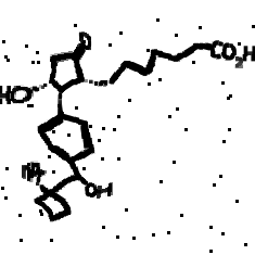 CCCC1(C(O)c2ccc([C@H]3[C@H](O)CC(=O)[C@@H]3CC=CCCCC(=O)O)cc2)CCC1